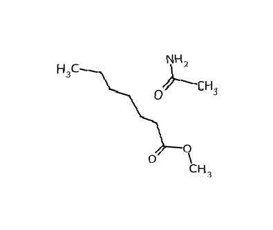 CC(N)=O.CCCCCCC(=O)OC